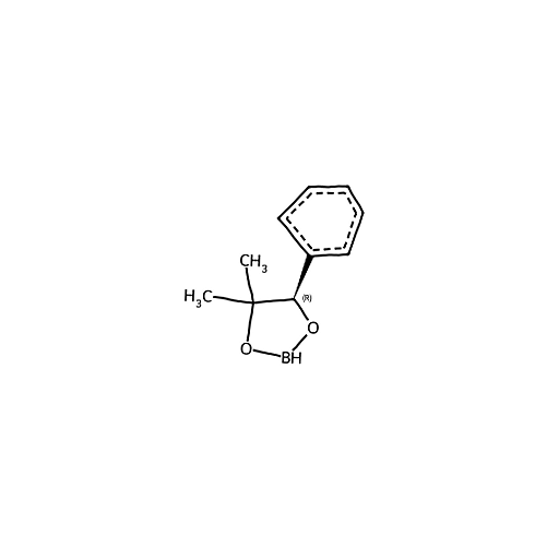 CC1(C)OBO[C@@H]1c1ccccc1